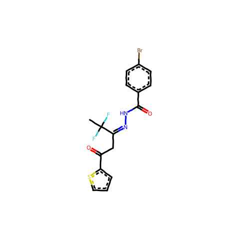 CC(F)(F)/C(CC(=O)c1cccs1)=N\NC(=O)c1ccc(Br)cc1